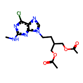 CNc1nc(Cl)c2ncn(CCC(COC(C)=O)COC(C)=O)c2n1